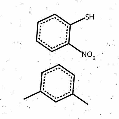 Cc1cccc(C)c1.O=[N+]([O-])c1ccccc1S